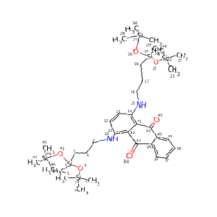 C[Si](C)(C)O[Si](C)(CCCNc1ccc(NCCC[Si](C)(O[Si](C)(C)C)O[Si](C)(C)C)c2c1C(=O)c1ccccc1C2=O)O[Si](C)(C)C